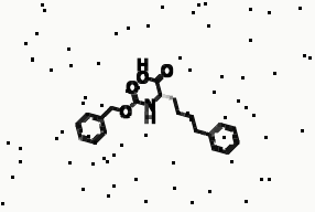 O=C(N[C@@H](CCCCc1ccccc1)C(=O)O)OCc1ccccc1